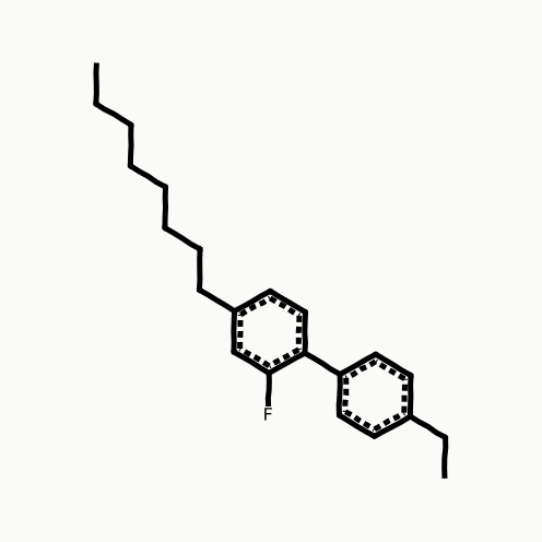 CCCCCCCCc1ccc(-c2ccc(CC)cc2)c(F)c1